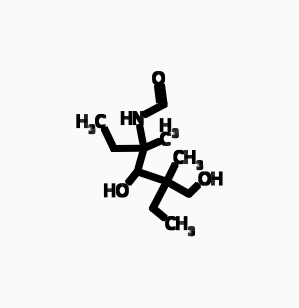 CCC(C)(CO)C(O)C(C)(CC)NC=O